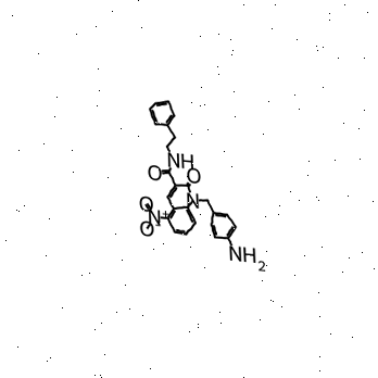 Nc1ccc(Cn2c(=O)c(C(=O)NCCc3ccccc3)cc3c([N+](=O)[O-])cccc32)cc1